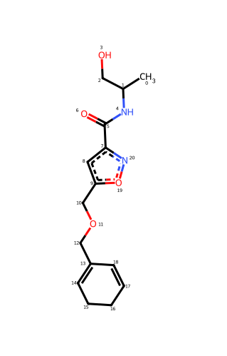 CC(CO)NC(=O)c1cc(COCC2=CCCC=C2)on1